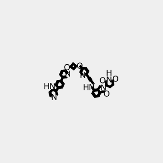 O=C1CCC(N2Cc3c(NCC#Cc4ccc(O[C@H]5C[C@H](Oc6ccc(-c7ccc8c(c7)[nH]c7ccncc78)cn6)C5)cn4)cccc3C2=O)C(=O)N1